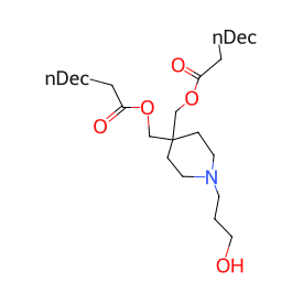 CCCCCCCCCCCC(=O)OCC1(COC(=O)CCCCCCCCCCC)CCN(CCCO)CC1